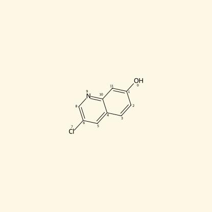 Oc1ccc2cc(Cl)cnc2c1